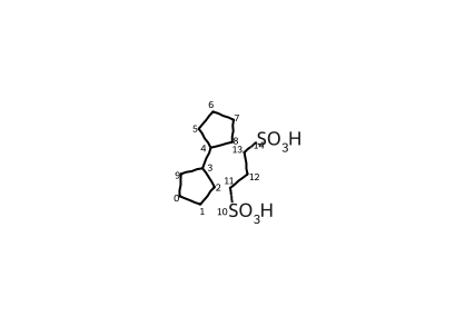 C1CCC(C2CCCC2)C1.O=S(=O)(O)CCCS(=O)(=O)O